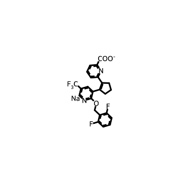 O=C([O-])c1cccc(C2=C(c3cc(C(F)(F)F)cnc3OCc3c(F)cccc3F)CCC2)n1.[Na+]